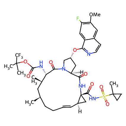 COc1cc2ccnc(O[C@@H]3C[C@H]4C(=O)N[C@]5(C(=O)NS(=O)(=O)C6(C)CC6)C[C@H]5/C=C/CC[C@@H](C)C[C@@H](C)[C@H](NC(=O)OC(C)(C)C(F)(F)F)C(=O)N4C3)c2cc1F